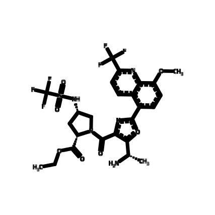 CCOC(=O)[C@@H]1C[C@H](NS(=O)(=O)C(F)(F)F)CN1C(=O)c1nc(-c2ccc(OC)c3nc(C(F)(F)F)ccc23)oc1[C@H](C)N